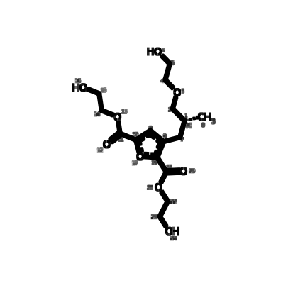 C[C@@H](COCCO)Cc1cc(C(=O)OCCO)oc1C(=O)OCCO